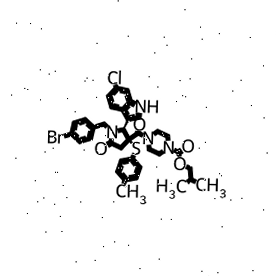 Cc1ccc(S[C@@]2(C(=O)N3CCN(C(=O)OCC(C)C)CC3)CC(=O)N(Cc3ccc(Br)cc3)[C@H]2c2c[nH]c3cc(Cl)ccc23)cc1